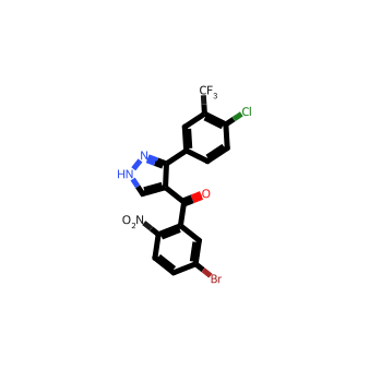 O=C(c1cc(Br)ccc1[N+](=O)[O-])c1c[nH]nc1-c1ccc(Cl)c(C(F)(F)F)c1